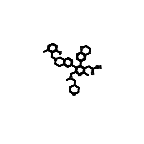 Cc1cccc(F)c1CN1CCc2cc(-c3c(CN(C)CC4CCOCC4)nc(C)c(CC(=O)O)c3-c3ccc4c(c3)CCCO4)ccc2C1